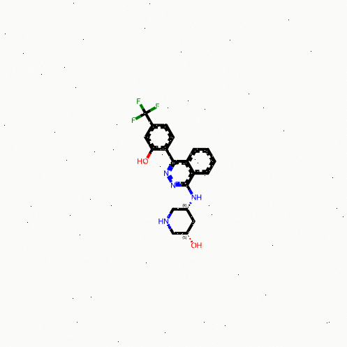 Oc1cc(C(F)(F)F)ccc1-c1nnc(N[C@H]2CNC[C@@H](O)C2)c2ccccc12